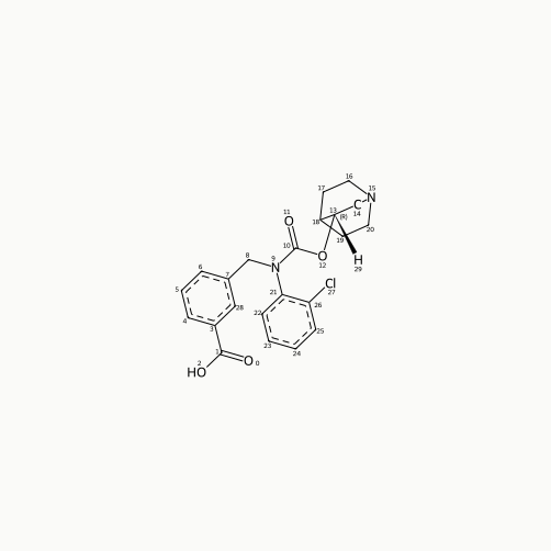 O=C(O)c1cccc(CN(C(=O)O[C@H]2CN3CCC2CC3)c2ccccc2Cl)c1